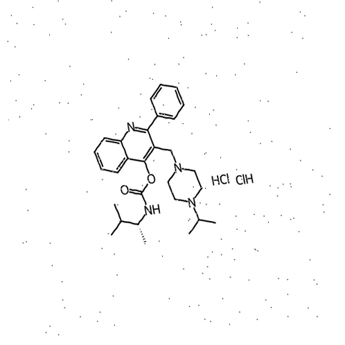 CC(C)[C@@H](C)NC(=O)Oc1c(CN2CCN(C(C)C)CC2)c(-c2ccccc2)nc2ccccc12.Cl.Cl